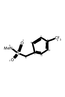 CNS(=O)(=O)Cc1ccc(C(F)(F)F)cc1